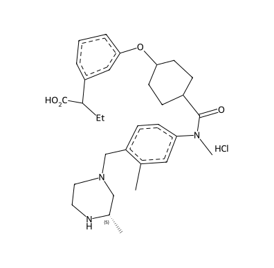 CCC(C(=O)O)c1cccc(OC2CCC(C(=O)N(C)c3ccc(CN4CCN[C@@H](C)C4)c(C)c3)CC2)c1.Cl